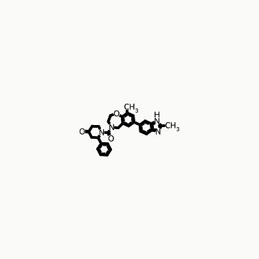 Cc1nc2ccc(-c3cc(C)c4c(c3)CN(C(=O)N3CCC(=O)CC3c3ccccc3)CCO4)cc2[nH]1